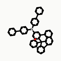 c1ccc(-c2ccc(N(c3ccc(-c4ccccc4)cc3)c3ccc4c(c3)-c3cccc5ccc6c(c35)C4(c3ccccc3)c3ccccc3-6)cc2)cc1